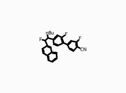 CCCCC(c1ccc(-c2ccc(C#N)c(F)c2)c(F)c1)C(F)c1ccc2ccccc2c1